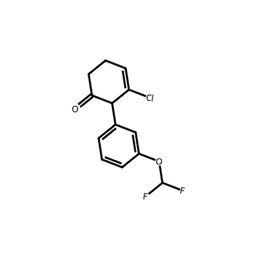 O=C1CCC=C(Cl)C1c1cccc(OC(F)F)c1